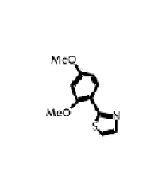 COc1ccc(-c2nc[c]s2)c(OC)c1